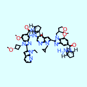 CCn1c(-c2nc3cc(C(=O)N4C[C@H]5CC[C@@H]4[C@@H]5Nc4cnc5c(c4)cc(-c4nc6cc(C(=O)N7C[C@H]8CC[C@@H]7[C@@H]8N)cc(OC)c6n4CC4CCOC4)n5CC4CC4)cc(OC)c3n2[C@H]2C[C@@H](OC)C2)cc2cccnc21